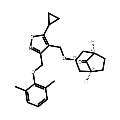 Cc1cccc(C)c1OCc1noc(C2CC2)c1CO[C@H]1C[C@H]2CC[C@@H](C1)C2=O